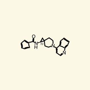 O=C(N[C@H]1CC12CCN(c1ccnc3ccccc13)CC2)c1ccccc1